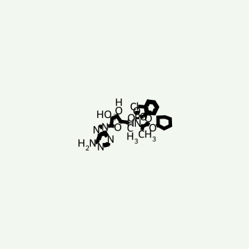 CC(NP(=O)(Oc1ccccc1Cl)OC(C)C1OC(n2cnc3c(N)ncnc32)[C@H](O)[C@@H]1O)C(=O)OC1CCCCC1